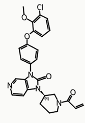 C=CC(=O)N1CCC[C@@H](n2c(=O)n(-c3ccc(Oc4cccc(Cl)c4OC)cc3)c3cnccc32)C1